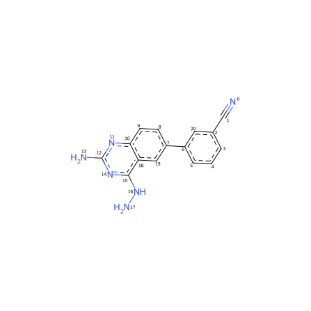 N#Cc1cccc(-c2ccc3nc(N)nc(NN)c3c2)c1